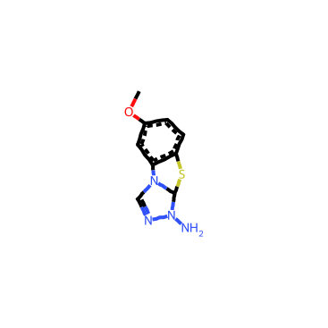 COc1ccc2c(c1)N1C=NN(N)C1S2